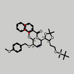 COc1ccc(CO[C@H](/C=C\C(OC(=O)c2ccccc2)[C@H]2OC(C)(C)O[C@H]2CCO[Si](C)(C)C(C)(C)C)[C@H](C)OC(=O)c2ccccc2)cc1